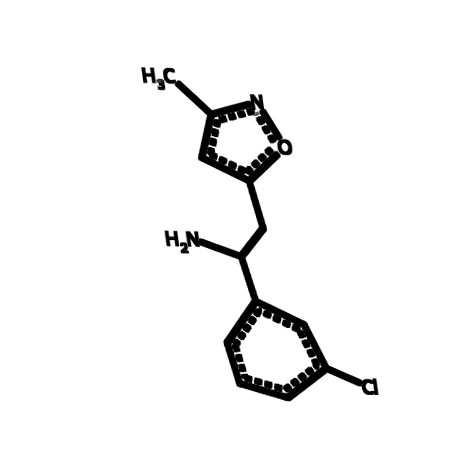 Cc1cc(CC(N)c2cccc(Cl)c2)on1